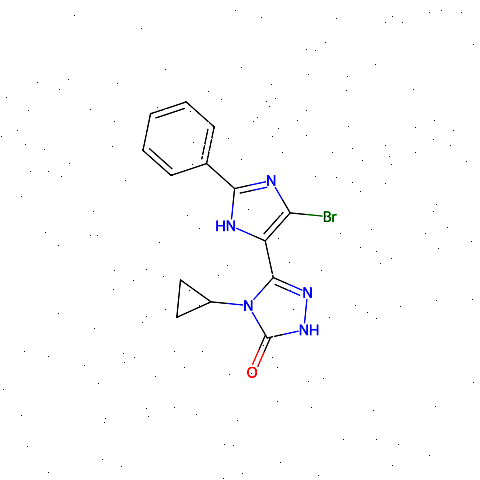 O=c1[nH]nc(-c2[nH]c(-c3ccccc3)nc2Br)n1C1CC1